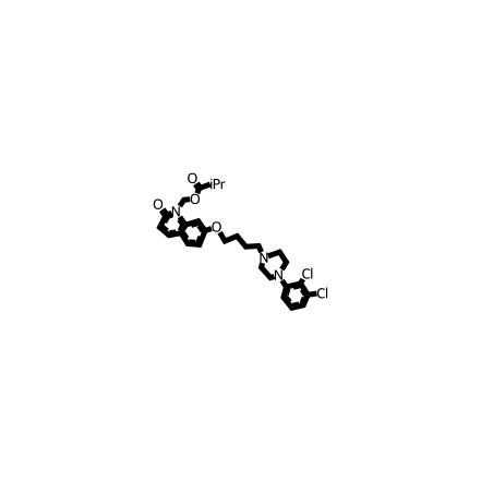 CC(C)C(=O)OCn1c(=O)ccc2ccc(OCCCCN3CCN(c4cccc(Cl)c4Cl)CC3)cc21